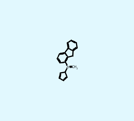 [CH2]=[Zr]([c]1cccc2c1Cc1ccccc1-2)[CH]1C=CC=C1